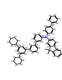 CC1(C)c2ccccc2-c2ccc(N(c3ccc(-c4ccccc4)cc3)c3cccc(-c4cccc(-c5cc(C6CCCCC6)cc(C6CCCCC6)c5)c4)c3)cc21